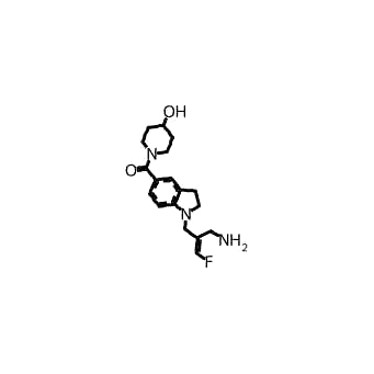 NC/C(=C\F)CN1CCc2cc(C(=O)N3CCC(O)CC3)ccc21